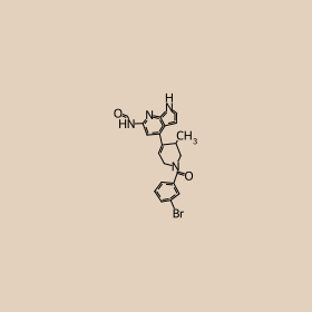 CC1CN(C(=O)c2cccc(Br)c2)CC=C1c1cc(NC=O)nc2[nH]ccc12